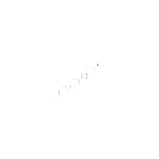 CC(C)C(=O)C1CCC2(CC1)CC(N1CCC(N3CCC(C(C)C)CC3)CC1)C2